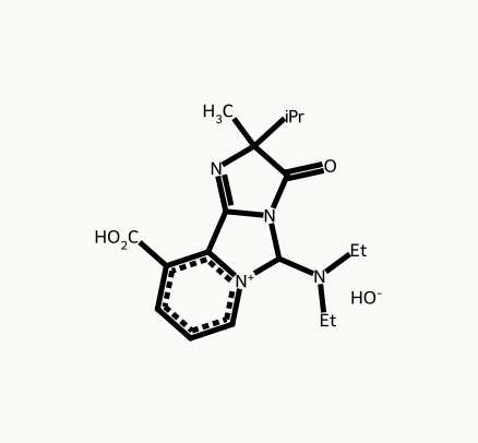 CCN(CC)C1N2C(=O)C(C)(C(C)C)N=C2c2c(C(=O)O)ccc[n+]21.[OH-]